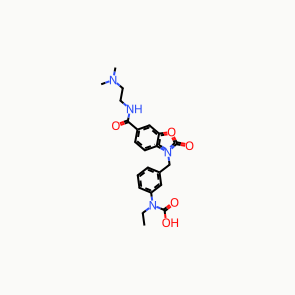 CCN(C(=O)O)c1cccc(Cn2c(=O)oc3cc(C(=O)NCCN(C)C)ccc32)c1